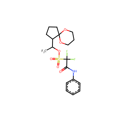 O=C(Nc1ccccc1)C(F)(F)S(=O)(=O)OC(C1CCCC12OCCCO2)C(F)(F)F